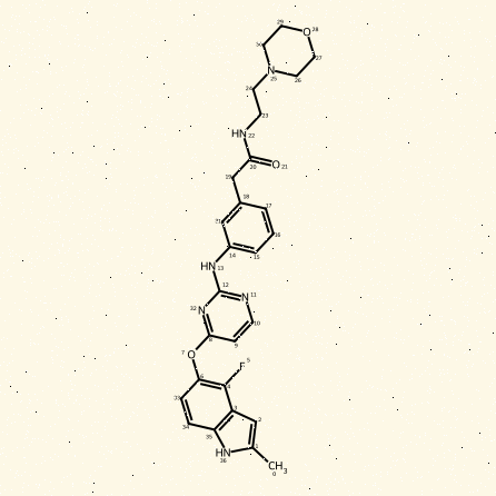 Cc1cc2c(F)c(Oc3ccnc(Nc4cccc(CC(=O)NCCN5CCOCC5)c4)n3)ccc2[nH]1